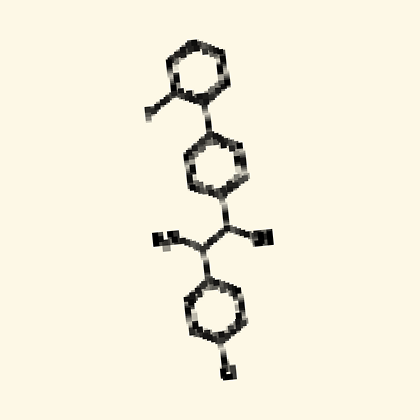 NC(c1ccc(Cl)cc1)C(O)c1ccc(-c2ccccc2F)cc1